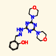 Oc1ccccc1/C=N/Nc1nc(N2CCOCC2)nc(N2CCOCC2)n1